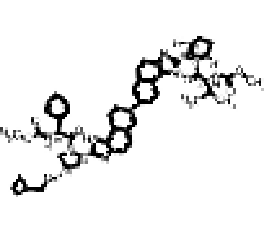 COC(=O)N[C@H](C(=O)N1[C@H]2CC[C@H](C2)[C@H]1c1nc2ccc3cc(-c4ccc5c(ccc6nc([C@@H]7C[C@H](COCC8CCC8)CN7C(=O)[C@H](NC(=O)OC)c7ccccc7)[nH]c65)c4)ccc3c2[nH]1)C(C)C